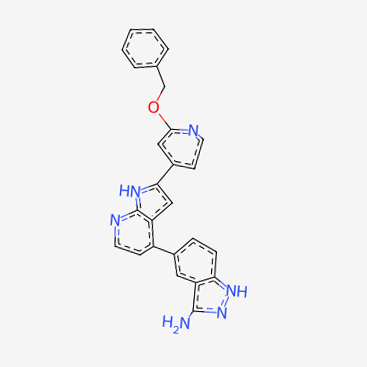 Nc1n[nH]c2ccc(-c3ccnc4[nH]c(-c5ccnc(OCc6ccccc6)c5)cc34)cc12